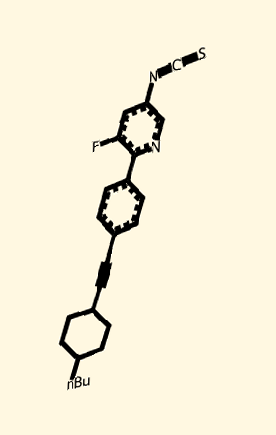 CCCCC1CCC(C#Cc2ccc(-c3ncc(N=C=S)cc3F)cc2)CC1